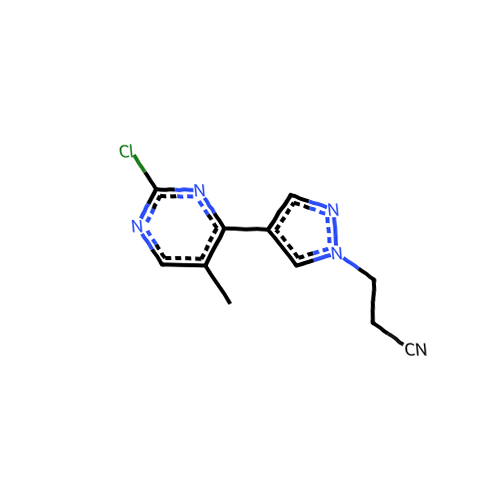 Cc1cnc(Cl)nc1-c1cnn(CCC#N)c1